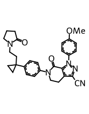 COc1ccc(-n2nc(C#N)c3c2C(=O)N(c2ccc(C4(CCN5CCCC5=O)CC4)cc2)CC3)cc1